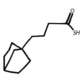 O=C(S)CCCC12CCC(CC1)C2